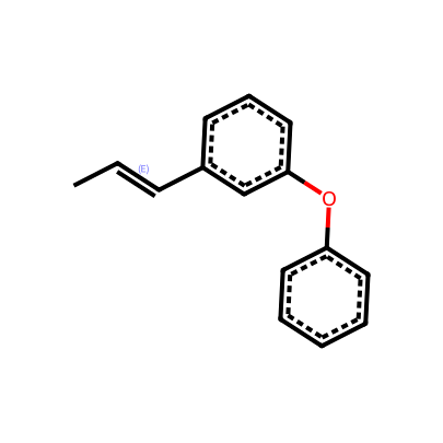 C/C=C/c1cccc(Oc2ccccc2)c1